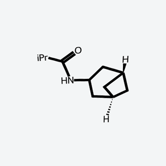 CC(C)C(=O)NC1C[C@H]2C[C@H](C1)C2